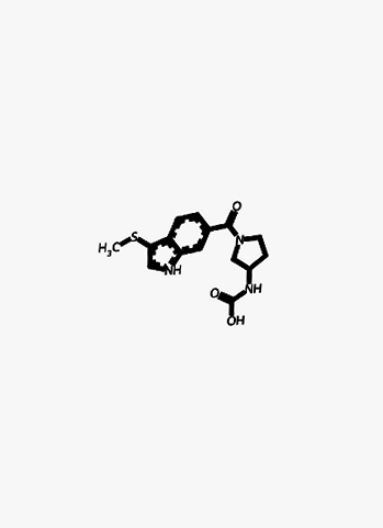 CSc1c[nH]c2cc(C(=O)N3CCC(NC(=O)O)C3)ccc12